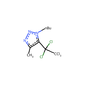 CCCCn1nnc(C)c1C(Cl)(Cl)C(Cl)(Cl)Cl